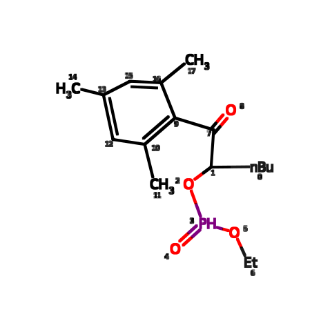 CCCCC(O[PH](=O)OCC)C(=O)c1c(C)cc(C)cc1C